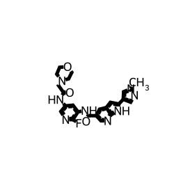 Cn1cc(-c2cc3cc(C(=O)Nc4cc(NC(=O)CN5CCOCC5)cnc4F)cnc3[nH]2)cn1